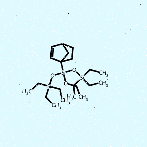 CCO[Si](O[Si](CC)(CC)CC)(O[Si](CC)(CC)CC)C12C=CC(CC1)C2